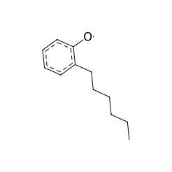 CCCCCCc1ccccc1[O]